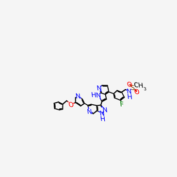 CS(=O)(=O)NCc1cc(F)cc(-c2ccnc3[nH]c(-c4n[nH]c5cnc(-c6cncc(OCc7ccccc7)c6)cc45)cc23)c1